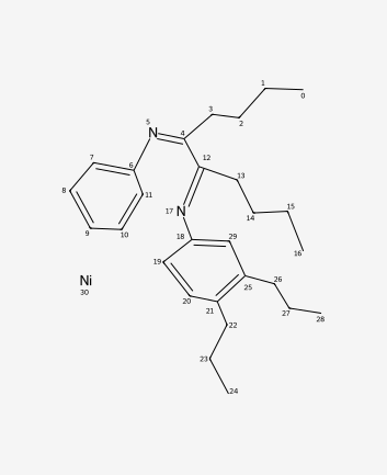 CCCCC(=Nc1ccccc1)C(CCCC)=Nc1ccc(CCC)c(CCC)c1.[Ni]